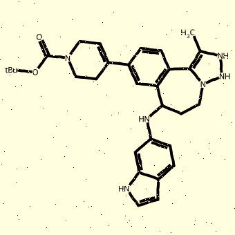 CC1=C2c3ccc(C4=CCN(C(=O)OC(C)(C)C)CC4)cc3C(Nc3ccc4cc[nH]c4c3)CCN2NN1